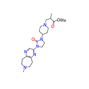 COC(=O)C(C)CN1CCC(N2CCN(c3cnc4c(n3)CCN(C)CC4)C2=O)CC1